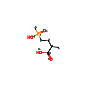 CC(CCP(C)(=O)O)C(=O)O